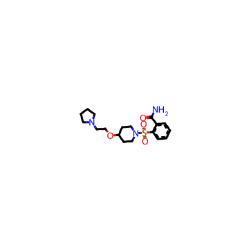 NC(=O)c1ccccc1S(=O)(=O)N1CCC(OCCN2CCCC2)CC1